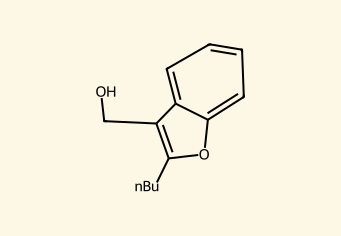 CCCCc1oc2ccccc2c1CO